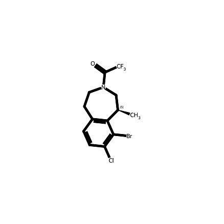 C[C@@H]1CN(C(=O)C(F)(F)F)CCc2ccc(Cl)c(Br)c21